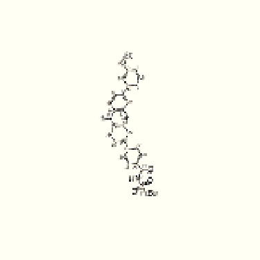 CCOc1cncc(-c2ccc(C(C)N3CCN(c4ccc(C(=O)NS(=O)(=O)C(C)(C)C)cc4)CC3)c(F)c2)c1